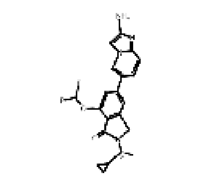 C[C@@H](C1CC1)N1Cc2cc(-c3ccc4nc(N)cn4c3)cc(OC(F)F)c2C1=O